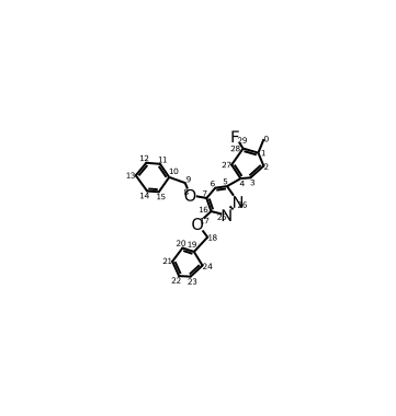 Cc1ccc(-c2cc(OCc3ccccc3)c(OCc3ccccc3)nn2)cc1F